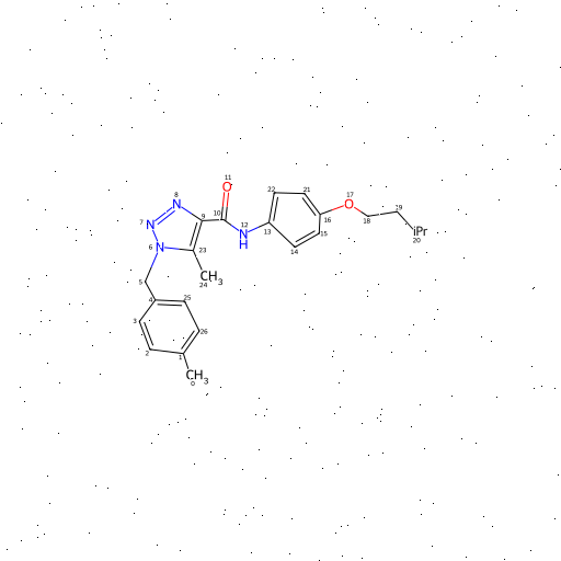 Cc1ccc(Cn2nnc(C(=O)Nc3ccc(OCCC(C)C)cc3)c2C)cc1